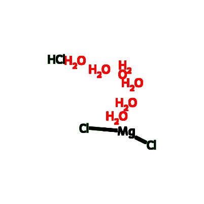 Cl.O.O.O.O.O.O.[Cl][Mg][Cl]